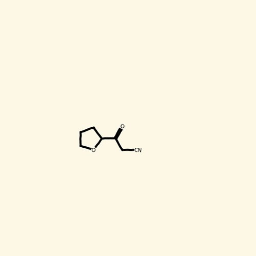 N#CCC(=O)C1CCCO1